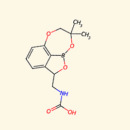 CC1(C)COc2cccc3c2B(OC3CNC(=O)O)O1